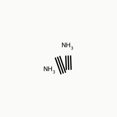 C#C.C#C.N.N